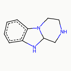 c1ccc2c(c1)NC1CNCCN21